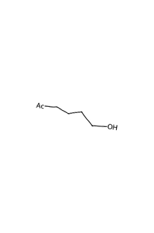 CC(=O)CCCCO